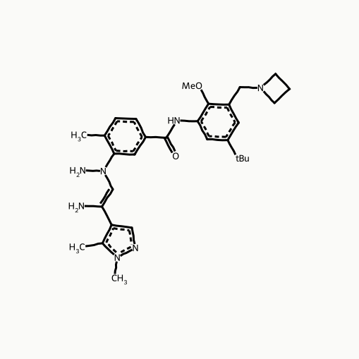 COc1c(CN2CCC2)cc(C(C)(C)C)cc1NC(=O)c1ccc(C)c(N(N)/C=C(\N)c2cnn(C)c2C)c1